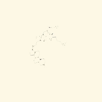 COC(=O)[C@@H]1C[C@H](NC(=O)CC[C@@H](C)[C@H]2CCC3C4CCC5C[C@H](O)CC[C@]5(C)C4CC[C@@]32C)CN1C(=O)C(N)CCCCN(C)C